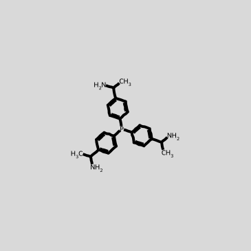 CC(N)c1ccc(P(c2ccc(C(C)N)cc2)c2ccc(C(C)N)cc2)cc1